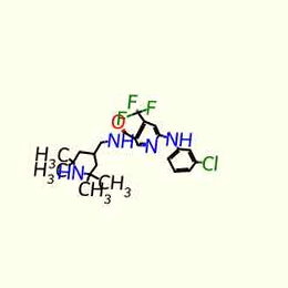 CC1(C)CC(CNC(=O)c2cnc(Nc3cccc(Cl)c3)cc2C(F)(F)F)CC(C)(C)N1